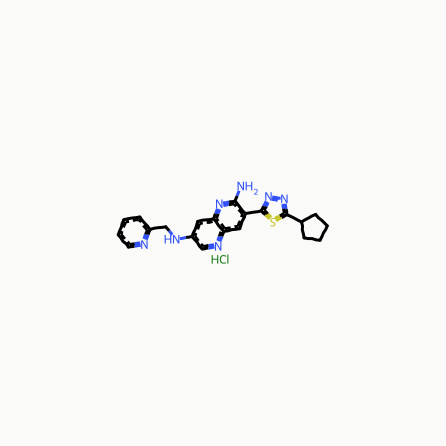 Cl.Nc1nc2cc(NCc3ccccn3)cnc2cc1-c1nnc(C2CCCC2)s1